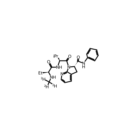 [2H]C([2H])([2H])N[C@@H](CC)C(=O)N[C@H](C(=O)N1c2ncccc2C[C@H]1C(=O)Nc1ccccc1)C(C)C